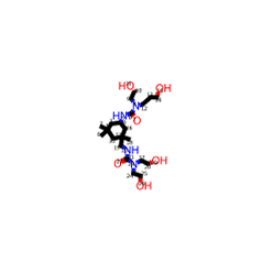 CC1(C)CC(NC(=O)N(CCO)CCCO)CC(C)(CNC(=O)N(CCO)CCO)C1